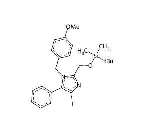 COc1ccc(Cn2c(CO[Si](C)(C)C(C)(C)C)nc(I)c2-c2ccccc2)cc1